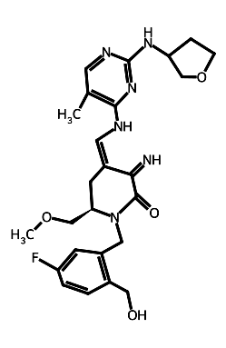 COC[C@H]1C/C(=C/Nc2nc(NC3CCOC3)ncc2C)C(=N)C(=O)N1Cc1cc(F)ccc1CO